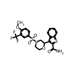 COc1ccc(S(=O)(=O)N2CCOC(c3c(C(N)=O)sc4ccccc34)C2)cc1C(F)(F)F